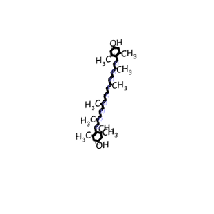 CC1=C(/C=C/C(C)=C/C=C/C(C)=C/C=C/C=C(C)/C=C/C=C(C)/C=C/C2=C(C)C[C@@H](O)CC2(C)C)[C@H](C)C[C@H](O)C1